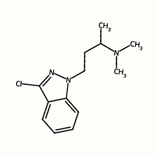 CC(CCn1nc(Cl)c2ccccc21)N(C)C